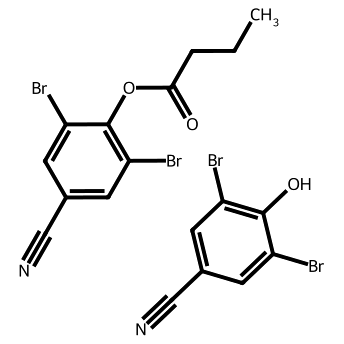 CCCC(=O)Oc1c(Br)cc(C#N)cc1Br.N#Cc1cc(Br)c(O)c(Br)c1